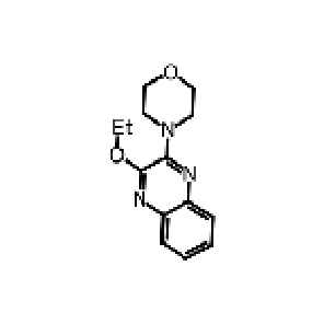 CCOc1nc2ccccc2nc1N1CCOCC1